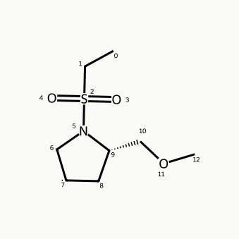 CCS(=O)(=O)N1C[CH]C[C@H]1COC